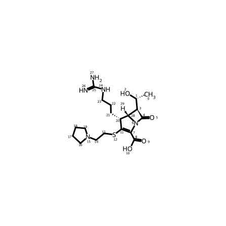 C[C@@H](O)[C@H]1C(=O)N2C(C(=O)O)=C(SCCN3CCCC3)[C@H](CCCNC(=N)N)[C@H]12